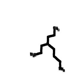 CCCP(CCC)CCCP